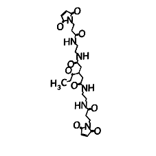 CCC(=O)C(CC(=O)NCCNC(=O)CCN1C(=O)C=CC1=O)CC(=O)NCCNC(=O)CCN1C(=O)C=CC1=O